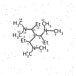 CCC(N(C)C)P(C(CC)N(C)C)C(CC)N(C)C